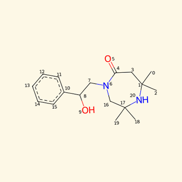 CC1(C)CC(=O)N(CC(O)c2ccccc2)CC(C)(C)N1